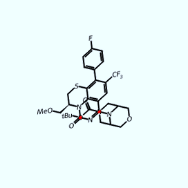 COC[C@H]1CSc2c(-c3ccc(F)cc3)c(C(F)(F)F)cc3c(N4C5COCC4CN(C(=O)OC(C)(C)C)C5)nc(=O)n1c23